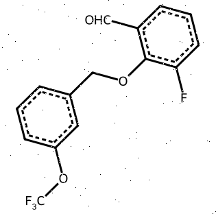 O=Cc1cccc(F)c1OCc1cccc(OC(F)(F)F)c1